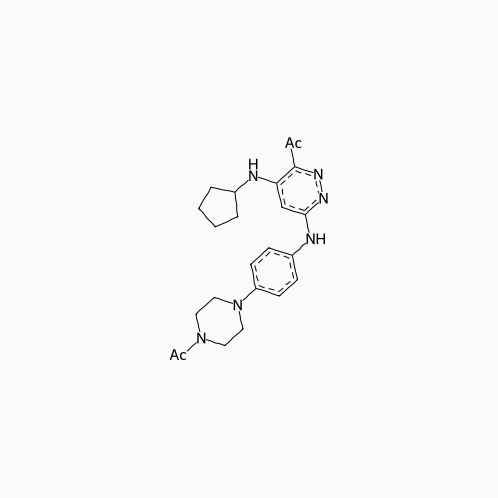 CC(=O)c1nnc(Nc2ccc(N3CCN(C(C)=O)CC3)cc2)cc1NC1CCCC1